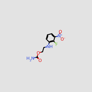 NC(=O)OCCNc1cccc([N+](=O)[O-])c1F